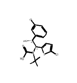 CC(C)(C)N(C(=O)O)[C@H](c1ccc(Cl)s1)[C@H](O)c1cccc(Cl)c1